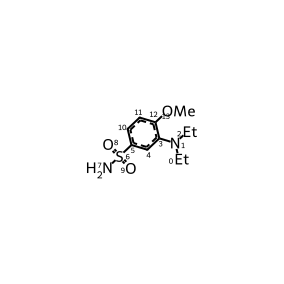 CCN(CC)c1cc(S(N)(=O)=O)ccc1OC